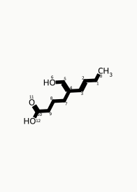 CCC=CC(=CO)CCCC(=O)O